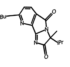 CCCCc1ccc2c(n1)C1=NC(=O)C(C)(C(C)C)N1C2=O